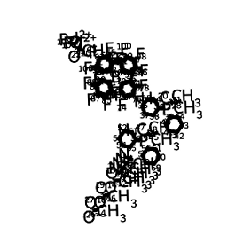 CC#N.CC#N.CC#N.CC#N.CC(=O)[O-].CC(=O)[O-].CC(=O)[O-].CC(=O)[O-].CC(C)(C)P(C1CCCCC1)C1CCCCC1.CC(C)(C)P(C1CCCCC1)C1CCCCC1.Fc1c(F)c(F)c([B-](c2c(F)c(F)c(F)c(F)c2F)(c2c(F)c(F)c(F)c(F)c2F)c2c(F)c(F)c(F)c(F)c2F)c(F)c1F.[Pd+2].[Pd+2]